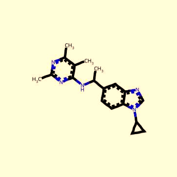 Cc1nc(C)c(C)c(NC(C)c2ccc3c(c2)ncn3C2CC2)n1